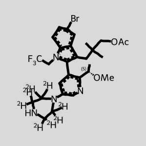 [2H]C1([2H])NC([2H])([2H])C([2H])([2H])N(c2cnc([C@H](C)OC)c(-c3c(CC(C)(C)COC(C)=O)c4cc(Br)ccc4n3CC(F)(F)F)c2)C1([2H])[2H]